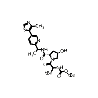 Cc1ncsc1-c1ccc(C(C)NC(=O)[C@@H]2C[C@@H](O)CN2C(=O)C(NC(=O)OC(C)(C)C)C(C)(C)C)nc1